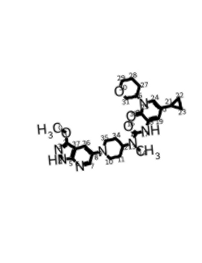 COc1n[nH]c2ncc(N3CCC(N(C)C(=O)Nc4cc(C5CC5)cn([C@@H]5CCCOC5)c4=O)CC3)cc12